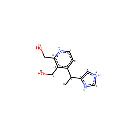 CC(c1c[nH]cn1)c1ccnc(CO)c1CO